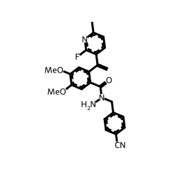 C=C(c1cc(OC)c(OC)cc1C(=O)N(N)Cc1ccc(C#N)cc1)c1ccc(C)nc1F